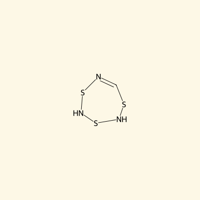 C1=NSNSNS1